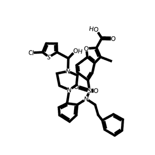 Cc1c(C(=O)O)oc2ccc(S(=O)(=O)N(CCc3ccccc3)c3ccccc3N3CCN(C(O)c4ccc(Cl)s4)CC3)cc12